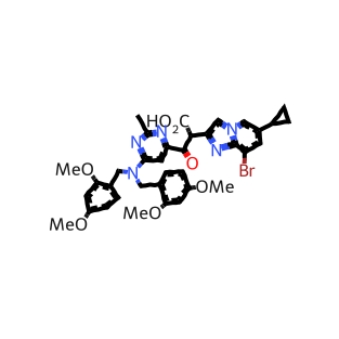 COc1ccc(CN(Cc2ccc(OC)cc2OC)c2cc(C(=O)C(C(=O)O)c3cn4cc(C5CC5)cc(Br)c4n3)nc(C)n2)c(OC)c1